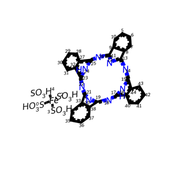 O=[S](=O)(O)[Fe]([S](=O)(=O)O)([S](=O)(=O)O)[S](=O)(=O)O.c1ccc2c(c1)-c1nc-2nc2[nH]c(nc3nc(nc4[nH]c(n1)c1ccccc41)-c1ccccc1-3)c1ccccc21